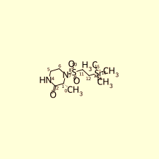 C[C@@H]1C(=O)NCCN1S(=O)(=O)CC[Si](C)(C)C